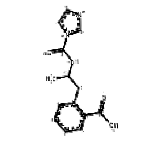 C[C@H](Cc1ccccc1C(=O)O)NC(=O)n1ccnc1